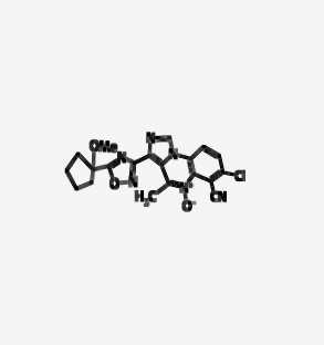 COC1(c2nc(-c3ncn4c3c(C)[n+]([O-])c3c(C#N)c(Cl)ccc34)no2)CCCC1